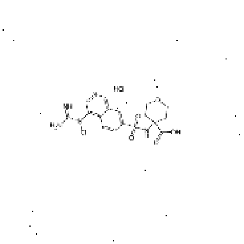 Cl.N=C(N)N(Cl)c1cncc2cc(S(=O)(=O)NC3(C(=O)O)CCOCC3)ccc12